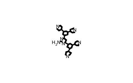 Nc1nc(-c2cc(-c3ccncc3)cc(-c3ccncc3)c2)cc(-c2cc(-c3ccncc3)cc(-c3ccncc3)c2)n1